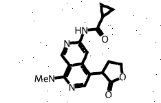 CNc1ncc(C2CCOC2=O)c2cc(NC(=O)C3CC3)ncc12